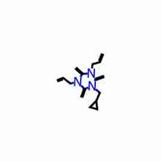 C=CCN1C(=C)N(CC=C)C(=C)N(CC2CC2)C1=C